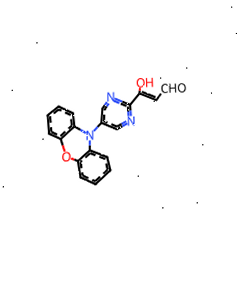 O=CC=C(O)c1ncc(N2c3ccccc3Oc3ccccc32)cn1